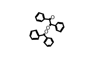 O=C(C(=O)c1ccccc1)c1ccccc1.O=C(c1ccccc1)c1ccccc1